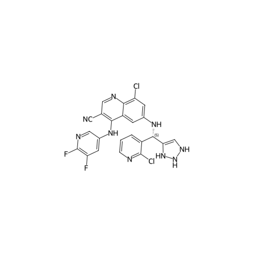 N#Cc1cnc2c(Cl)cc(N[C@H](C3=CNNN3)c3cccnc3Cl)cc2c1Nc1cnc(F)c(F)c1